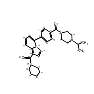 CC(C)N1CCN(C(=O)c2ccc(-c3cccc4c(C(=O)N5CCCCC5)cnn34)cc2)CC1